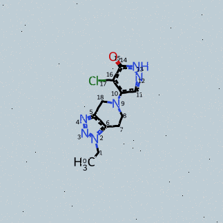 CCn1nnc2c1CCN(c1cn[nH]c(=O)c1Cl)C2